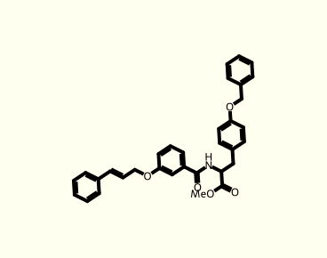 COC(=O)C(Cc1ccc(OCc2ccccc2)cc1)NC(=O)c1cccc(OCC=Cc2ccccc2)c1